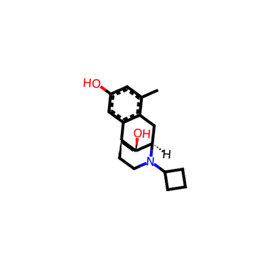 Cc1cc(O)cc2c1C[C@H]1N(C3CCC3)CC[C@@]23CCCC[C@@]13O